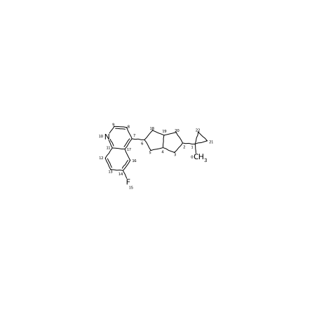 CC1(C2CC3CC(c4ccnc5ccc(F)cc45)CC3C2)CC1